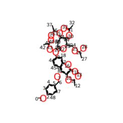 COc1ccc(COc2c(OC(C)=O)c(=O)oc3cc(O[C@@H]4O[C@H](COC(C)=O)[C@@H](OC(C)=O)[C@H](OC(C)=O)[C@H]4OC(C)=O)ccc23)cc1